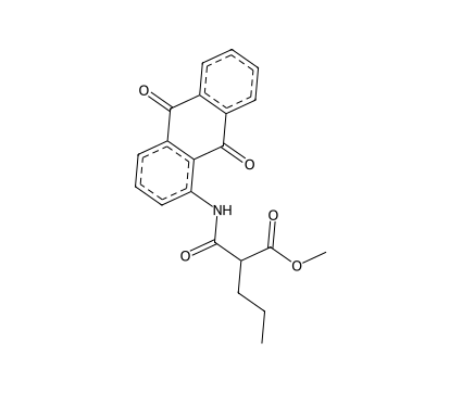 CCCC(C(=O)Nc1cccc2c1C(=O)c1ccccc1C2=O)C(=O)OC